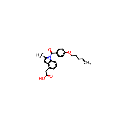 C=CCCCOc1ccc(C(=O)n2c(C)cc3c(CC(=O)O)cccc32)cc1